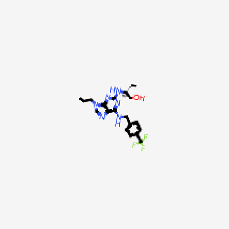 CCCn1cnc2c(NCc3ccc(C(F)(F)F)cc3)nc(N[C@H](CC)CO)nc21